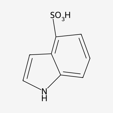 O=S(=O)(O)c1cccc2[nH]ccc12